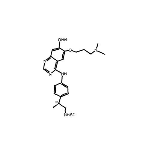 COc1cc2ncnc(Nc3ccc([C@H](C)CNC(C)=O)cc3)c2cc1OCCCN(C)C